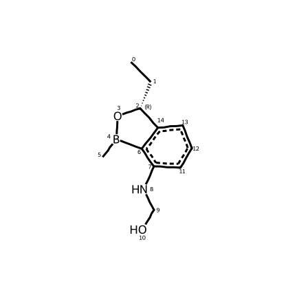 CC[C@H]1OB(C)c2c(NCO)cccc21